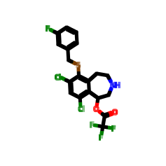 O=C(OC1CNCCc2c(SCc3cccc(F)c3)c(Cl)cc(Cl)c21)C(F)(F)F